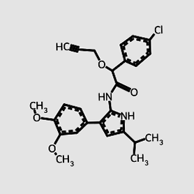 C#CCOC(C(=O)Nc1[nH]c(C(C)C)cc1-c1ccc(OC)c(OC)c1)c1ccc(Cl)cc1